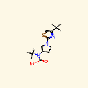 CC(C)(C)c1csc(N2CCC(N(C(=O)O)C(C)(C)C)C2)n1